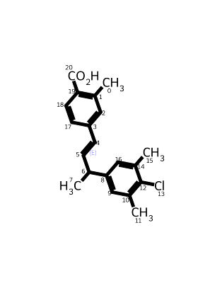 Cc1cc(/C=C/C(C)c2cc(C)c(Cl)c(C)c2)ccc1C(=O)O